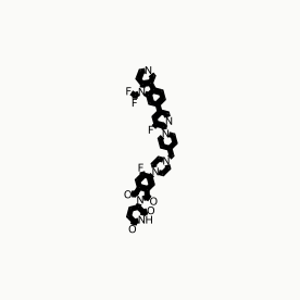 O=C1CCC(N2C(=O)c3cc(F)c(N4CCN(CC5CCN(c6ncc(-c7ccc8c9cnccc9n(C(F)F)c8c7)cc6F)CC5)CC4)cc3C2=O)C(=O)N1